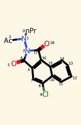 CCCN(C(C)=O)N1C(=O)c2cc(Cl)c3ccccc3c2C1=O